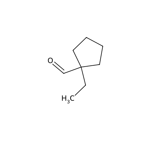 CCC1(C=O)CCCC1